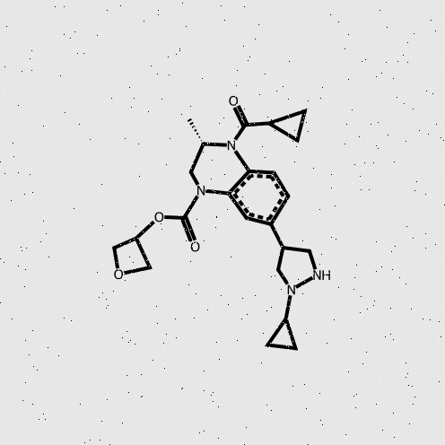 C[C@H]1CN(C(=O)OC2COC2)c2cc(C3CNN(C4CC4)C3)ccc2N1C(=O)C1CC1